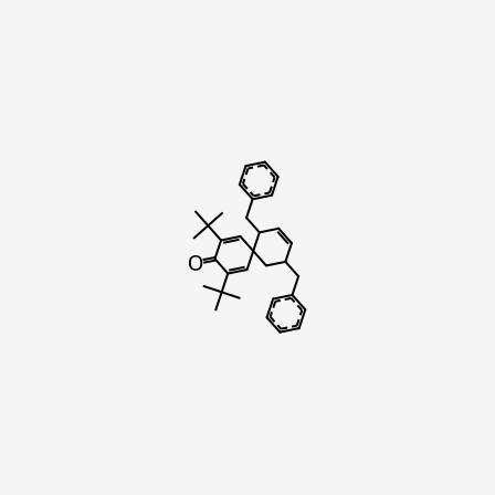 CC(C)(C)C1=CC2(C=C(C(C)(C)C)C1=O)CC(Cc1ccccc1)C=CC2Cc1ccccc1